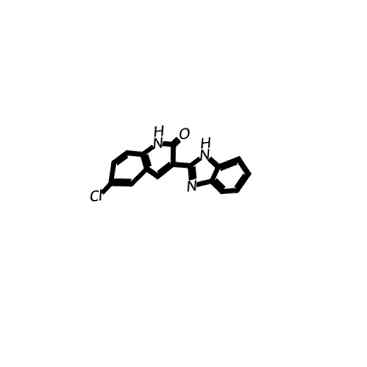 O=c1[nH]c2ccc(Cl)cc2cc1-c1nc2ccccc2[nH]1